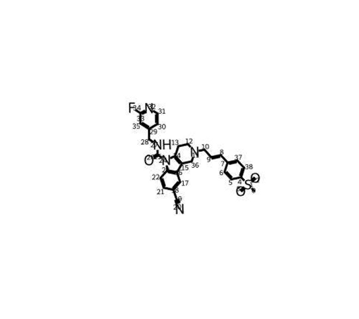 CS(=O)(=O)c1ccc(C=CCN2CCc3c(c4cc(C#N)ccc4n3C(=O)NCc3ccnc(F)c3)C2)cc1